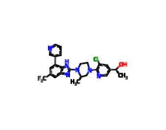 C[C@H](O)c1cnc(N2CCN(c3nc4cc(C(F)(F)F)cc(-c5cccnc5)c4[nH]3)[C@H](C)C2)c(Cl)c1